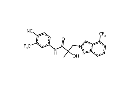 CC(O)(Cn1cc2c(C(F)(F)F)cccc2n1)C(=O)Nc1ccc(C#N)c(C(F)(F)F)c1